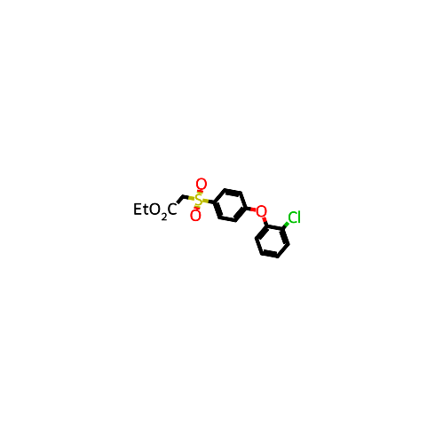 CCOC(=O)CS(=O)(=O)c1ccc(Oc2ccccc2Cl)cc1